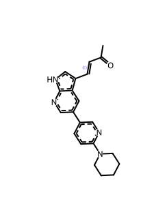 CC(=O)/C=C/c1c[nH]c2ncc(-c3ccc(N4CCCCC4)nc3)cc12